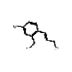 Cc1ccc(C=CCO)c(CC(C)C)c1